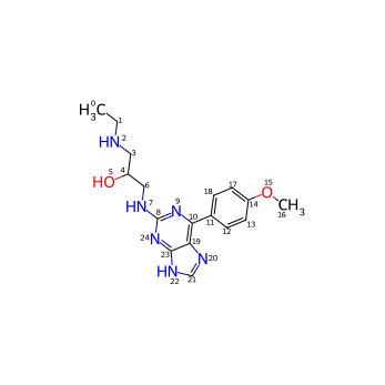 CCNCC(O)CNc1nc(-c2ccc(OC)cc2)c2nc[nH]c2n1